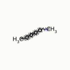 C/C=C/CCC1=CCC(c2ccc(-c3ccc(C4CCC(CCC)CC4)cc3)cc2)CC1